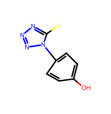 Oc1ccc(-n2nnnc2[S])cc1